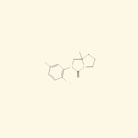 CC12CCCN1C(=O)N(c1cc(Cl)ccc1Cl)C2